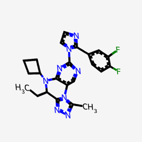 CCC1c2nnc(C)n2-c2cnc(-n3ccnc3-c3ccc(F)c(F)c3)nc2N1C1CCC1